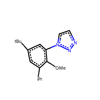 COc1c(C(C)C)cc(C(C)(C)C)cc1-n1ccnn1